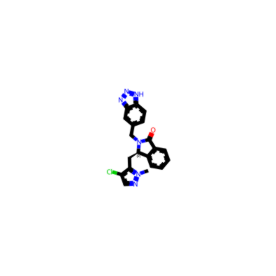 Cn1ncc(Cl)c1C[C@@H]1c2ccccc2C(=O)N1Cc1ccc2[nH]nnc2c1